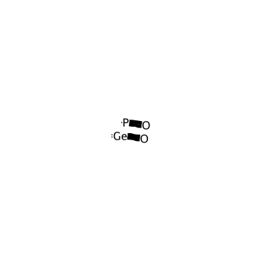 O=[P].[O]=[Ge]